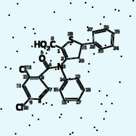 O=C(O)C1=C(N(C(=O)c2ccc(Cl)cc2Cl)c2ccccc2)CC(c2ccccc2)S1